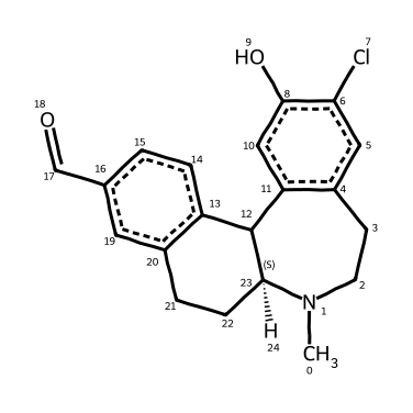 CN1CCc2cc(Cl)c(O)cc2C2c3ccc(C=O)cc3CC[C@@H]21